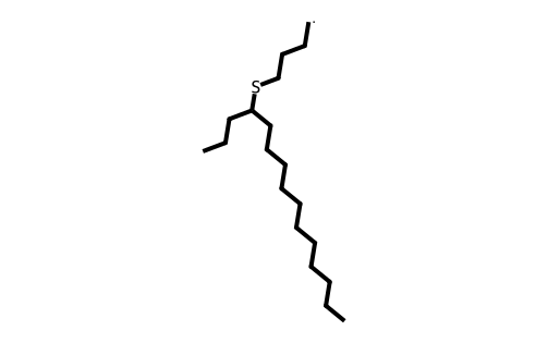 [CH2]CCCSC(CCC)CCCCCCCCCCC